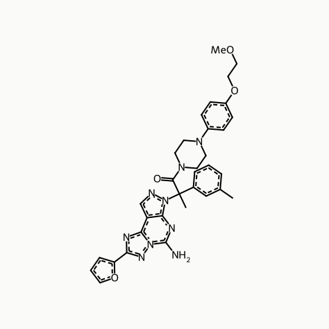 COCCOc1ccc(N2CCN(C(=O)C(C)(c3cccc(C)c3)n3ncc4c3nc(N)n3nc(-c5ccco5)nc43)CC2)cc1